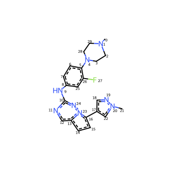 CN1CCN(c2ccc(Nc3ncc4ccc(-c5cnn(C)c5)n4n3)cc2F)CC1